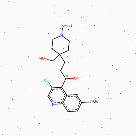 CCCCCCCN1CCC(CO)(CC[C@@H](O)c2c(Cl)cnc3ccc(OC)cc23)CC1